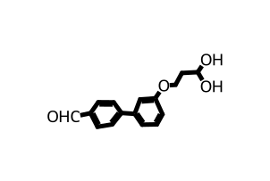 O=Cc1ccc(-c2cccc(OCCC(O)O)c2)cc1